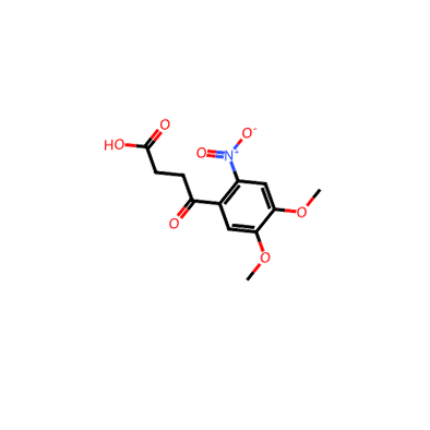 COc1cc(C(=O)CCC(=O)O)c([N+](=O)[O-])cc1OC